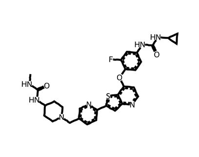 CNC(=O)NC1CCN(Cc2ccc(-c3cc4nccc(Oc5ccc(NC(=O)NC6CC6)cc5F)c4s3)nc2)CC1